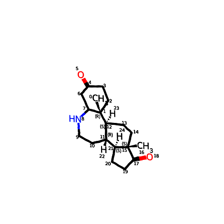 C[C@]12CCC(=O)CC1NCC[C@@H]1[C@@H]2CC[C@]2(C)C(=O)CC[C@@H]12